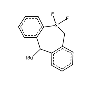 CC(C)(C)C1c2ccccc2CS(F)(F)c2ccccc21